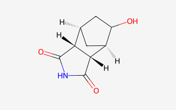 O=C1NC(=O)[C@@H]2[C@H]1[C@H]1CC(O)[C@@H]2C1